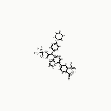 CC(C)(C)OC(=O)N(c1ccc(N2CCOCC2)cc1)c1ncc(-c2ccc3c(c2)S(=O)(=O)NC3=O)n2ncnc12